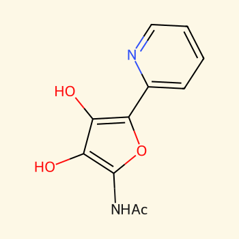 CC(=O)Nc1oc(-c2ccccn2)c(O)c1O